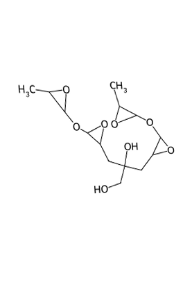 CC1OC1OC1OC1CC(O)(CO)CC1OC1OC1OC1C